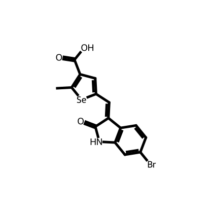 Cc1[se]c(C=C2C(=O)Nc3cc(Br)ccc32)cc1C(=O)O